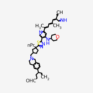 C#C/C(C=N)=C/C(C)=C/C=C(\C)c1cc(NC2CCOCC2)c(-c2nnc(C3(CCC)CCC(CN4CCc5cc(C(C=C)CCC=O)ccc5C4)C3)s2)cn1